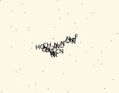 CC(C)(O)COc1cc(-c2cnn([C@H]3CCCN(Cc4ccc(-n5cc(F)cn5)nc4)C3)c2)c2c(C#N)nnn2c1